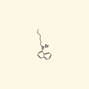 CCCCCCB(Br)c1cccc2ccccc12